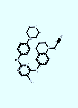 Cc1cnc(Nc2ccc(N3CCOCC3)cc2)nc1Sc1ccc2c(c1)CCCN2CC#N